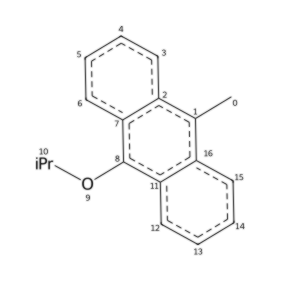 Cc1c2ccccc2c(OC(C)C)c2ccccc12